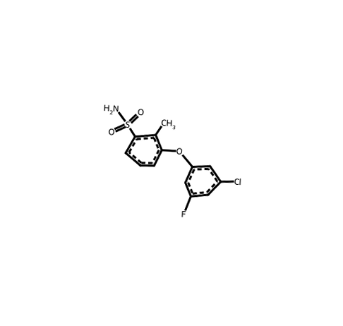 Cc1c(Oc2cc(F)cc(Cl)c2)cccc1S(N)(=O)=O